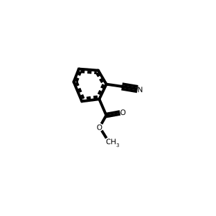 COC(=O)c1ccccc1C#N